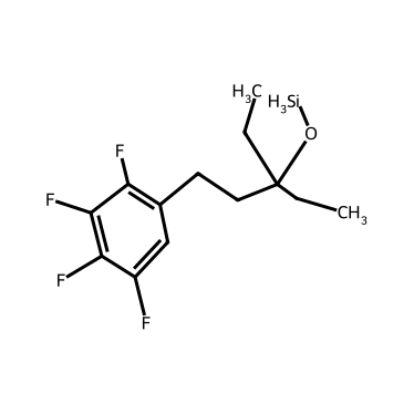 CCC(CC)(CCc1cc(F)c(F)c(F)c1F)O[SiH3]